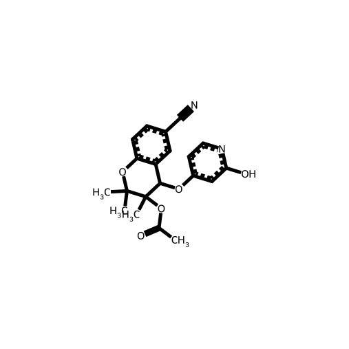 CC(=O)OC1(C)C(Oc2ccnc(O)c2)c2cc(C#N)ccc2OC1(C)C